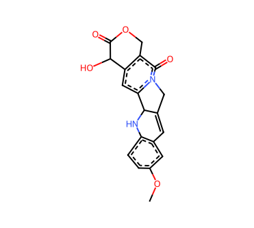 COc1ccc2c(c1)C=C1Cn3c(cc4c(c3=O)COC(=O)C4O)C1N2